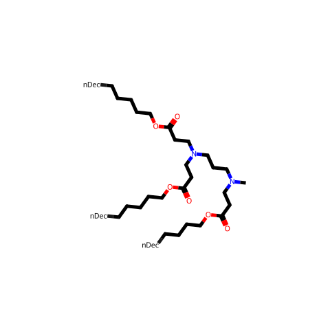 CCCCCCCCCCCCCCCOC(=O)CCN(CCCN(C)CCC(=O)OCCCCCCCCCCCCCC)CCC(=O)OCCCCCCCCCCCCCCC